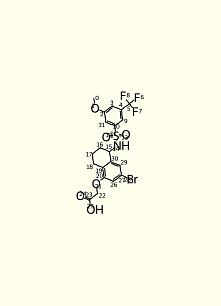 COc1cc(C(F)(F)F)cc(S(=O)(=O)NC2CCCc3c(OCC(=O)O)cc(Br)cc32)c1